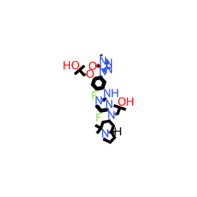 Cn1nnn(-c2cc(Nc3ncc(F)c(N(CC(C)(C)O)[C@@H]4C[C@@H]5CCCN5C(C)(C)C4)n3)c(F)cc2OCC(C)(C)O)c1=O